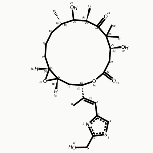 C/C(=C\c1csc(CO)n1)[C@@H]1C[C@@H]2O[C@@H]2CCC[C@H](C)C(O)[C@@H](C)C(=O)C(C)(C)[C@@H](O)CC(=O)O1